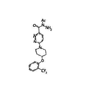 CC(=O)N(N)C(=O)c1ccc(N2CCC(Oc3ccccc3C(F)(F)F)CC2)nn1